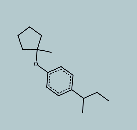 CCC(C)c1ccc(OC2(C)CCCC2)cc1